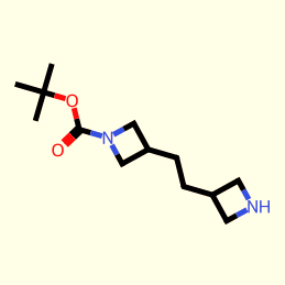 CC(C)(C)OC(=O)N1CC(CCC2CNC2)C1